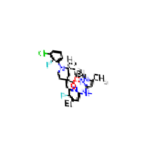 CCc1cc(Nc2cc(C)n(C(C)(C)C)n2)nc(CC2(C(=O)OC(C)(C)C)CCN(c3cccc(Cl)c3F)C(C)C2)c1F